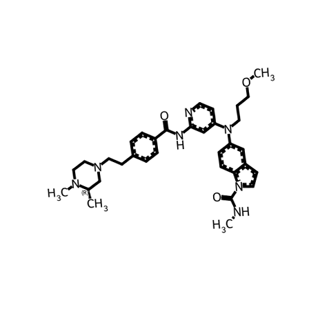 CNC(=O)n1ccc2cc(N(CCCOC)c3ccnc(NC(=O)c4ccc(CCN5CCN(C)[C@H](C)C5)cc4)c3)ccc21